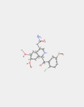 COc1ccc(F)c(C(=O)c2ncc(CC(N)=O)c3cc(OC)c(OC)cc23)c1